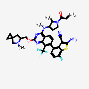 C=CC(=O)N1CCC(N(C)c2nc(OCC3CC4(CC4)CN3C)nc3c(C(F)(F)F)c(-c4ccc(F)c5sc(N)c(C#N)c45)ccc23)C1C